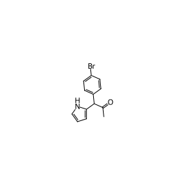 CC(=O)C(c1ccc(Br)cc1)c1ccc[nH]1